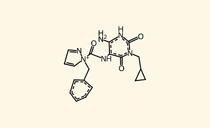 Nc1[nH]c(=O)n(CC2CC2)c(=O)c1NC(=O)[N+]1(Cc2ccccc2)C=CC=N1